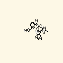 Cc1nc(OC(=O)Nc2cccc(CO)n2)c(Nc2cncnc2)s1